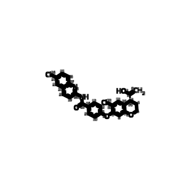 C=C(O)[C@@H]1CCOc2cc(Oc3ccc(C(=O)Nc4ccc5cc(Cl)ccc5n4)cc3)c(Cl)cc21